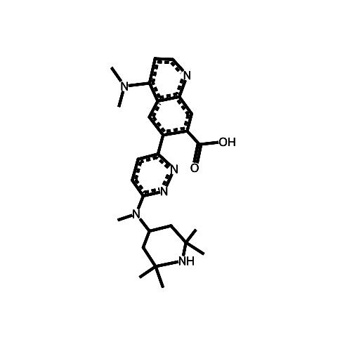 CN(C)c1ccnc2cc(C(=O)O)c(-c3ccc(N(C)C4CC(C)(C)NC(C)(C)C4)nn3)cc12